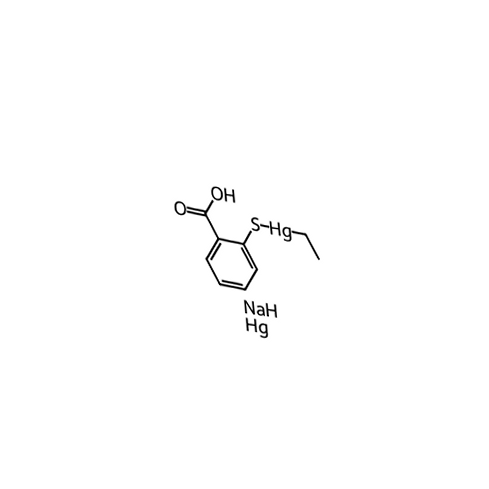 C[CH2][Hg][S]c1ccccc1C(=O)O.[Hg].[NaH]